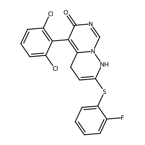 O=c1ncn2c(c1-c1c(Cl)cccc1Cl)CC=C(Sc1ccccc1F)N2